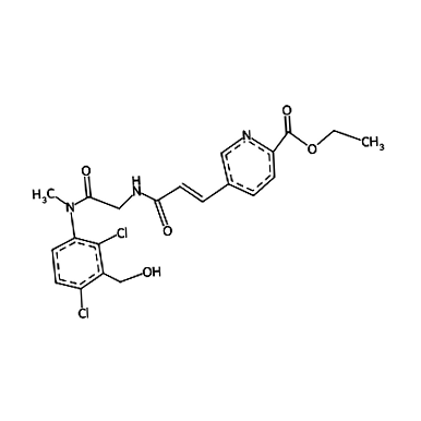 CCOC(=O)c1ccc(C=CC(=O)NCC(=O)N(C)c2ccc(Cl)c(CO)c2Cl)cn1